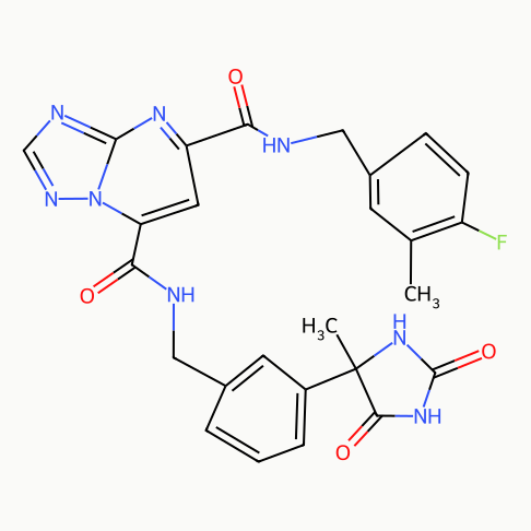 Cc1cc(CNC(=O)c2cc(C(=O)NCc3cccc(C4(C)NC(=O)NC4=O)c3)n3ncnc3n2)ccc1F